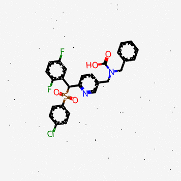 O=C(O)N(Cc1ccccc1)Cc1ccc(C(c2cc(F)ccc2F)S(=O)(=O)c2ccc(Cl)cc2)nc1